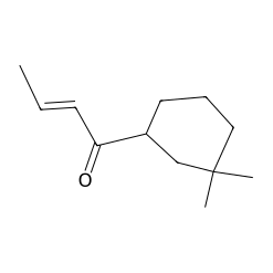 C/C=C/C(=O)C1CCCC(C)(C)C1